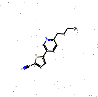 CCCCc1ccc(-c2ccc(C#N)s2)cn1